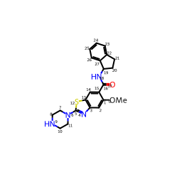 COc1cc2nc(N3CCNCC3)sc2cc1C(=O)NC1CCc2ccccc21